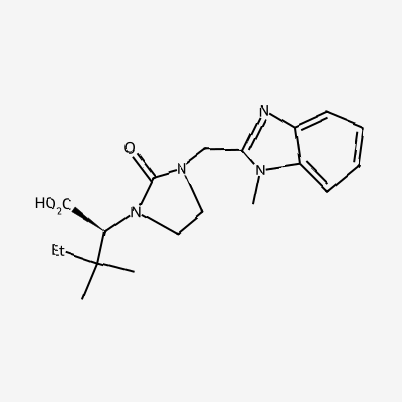 CCC(C)(C)[C@@H](C(=O)O)N1CCN(Cc2nc3ccccc3n2C)C1=O